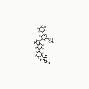 CNC(=O)c1cccc(-c2ccn3c(-c4cc(NC)nc(-c5ccccc5)c4)cnc3c2)c1